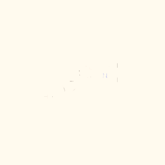 CCc1ccc2c(c1)Cc1c(CN(C)CC)cccc1-2